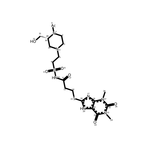 CC(=O)N1CCN(CCS(=O)(=O)NC(=O)CCSc2nc3c([nH]2)c(=O)n(C)c(=O)n3C)C[C@@H]1CO